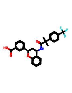 CC(C)(C(=O)N[C@@H]1C[C@H](c2cccc(C(=O)O)c2)Oc2ccccc21)c1ccc(C(F)(F)F)cc1